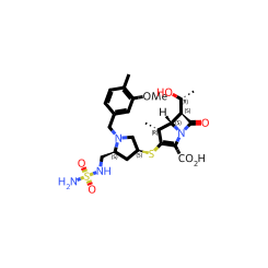 COc1cc(CN2C[C@@H](SC3=C(C(=O)O)N4C(=O)[C@H]([C@@H](C)O)[C@H]4[C@H]3C)C[C@H]2CNS(N)(=O)=O)ccc1C